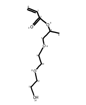 C=CC(=O)OC(C)COCCOCCO